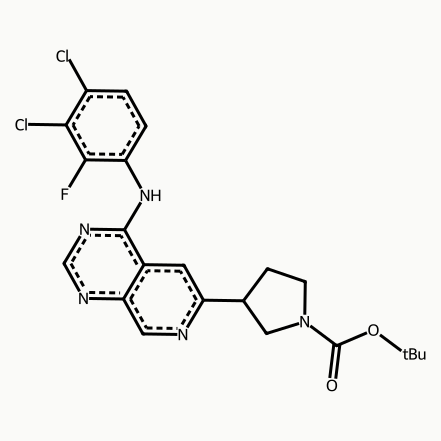 CC(C)(C)OC(=O)N1CCC(c2cc3c(Nc4ccc(Cl)c(Cl)c4F)ncnc3cn2)C1